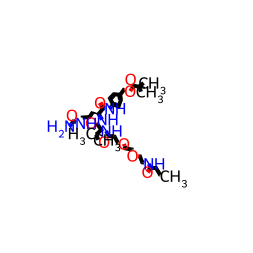 CCCC(=O)NCCOCCOCCC(=O)N[C@H](C(=O)N[C@@H](CCCNC(N)=O)C(=O)Nc1ccc(COC(=O)C(C)C)cc1)C(C)C